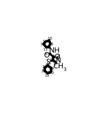 Cc1noc(C(=O)Nc2ccccc2)c1Sc1ccccc1